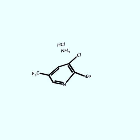 CCC(C)c1ncc(C(F)(F)F)cc1Cl.Cl.N